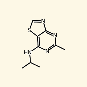 Cc1nc(NC(C)C)c2scnc2n1